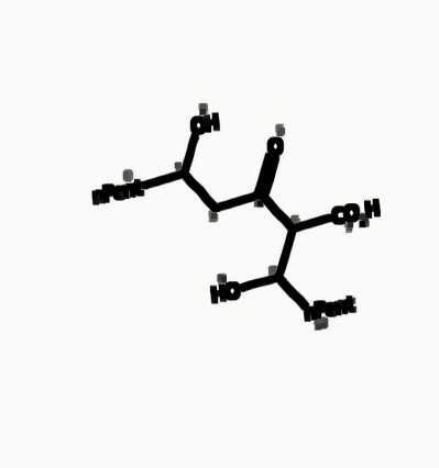 CCCCCC(O)CC(=O)C(C(=O)O)C(O)CCCCC